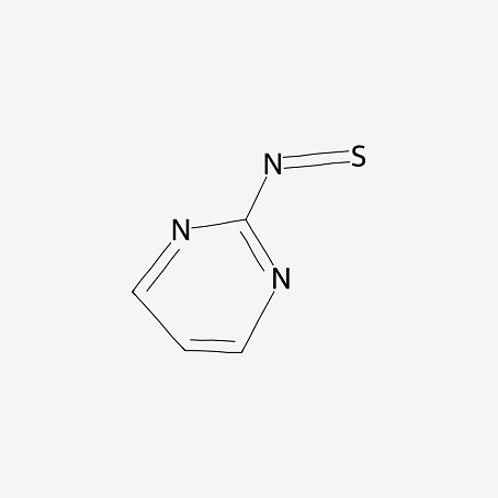 S=Nc1ncccn1